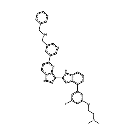 CN(C)CCNc1cc(F)cc(-c2cncc3[nH]c(-c4n[nH]c5ccc(-c6cncc(CNCc7ccccc7)c6)nc45)cc23)c1